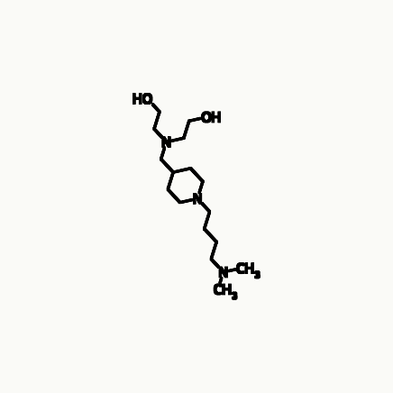 CN(C)CCCCN1CCC(CN(CCO)CCO)CC1